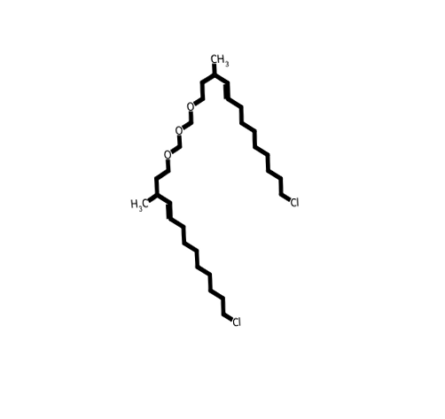 CC(C=CCCCCCCCCCl)CCOCOCOCCC(C)C=CCCCCCCCCCl